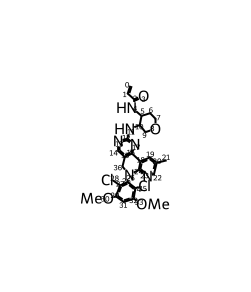 C=CC(=O)NC1CCOCC1Nc1ncc2c(n1)-c1cc(C)cnc1N(c1c(Cl)c(OC)cc(OC)c1Cl)C2